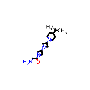 CC(C)C1CCN(C2CN(C3CN(C(=O)CN)C3)C2)CC1